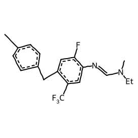 CCN(C)C=Nc1cc(C(F)(F)F)c(Cc2ccc(C)cc2)cc1F